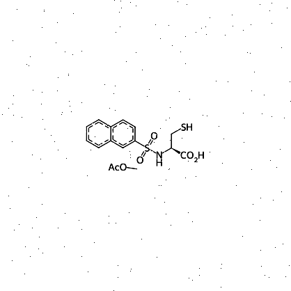 COC(C)=O.O=C(O)[C@H](CS)NS(=O)(=O)c1ccc2ccccc2c1